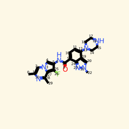 Cc1cn2cc(NC(=O)c3ccc(N4CCNCC4)c4cn(C)nc34)c(F)c2c(C)n1